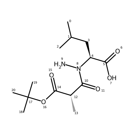 CC(C)C[C@@H](C(=O)O)N(N)C(=O)[C@H](C)C(=O)OC(C)(C)C